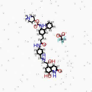 C[N+]1(C)CCC(OC(=O)Nc2ccc(CCC(=O)Nc3ccc(CNC[C@H](O)c4ccc(O)c5[nH]c(=O)ccc45)cc3)cc2-c2ccccc2)CC1.O=C([O-])C(F)(F)F